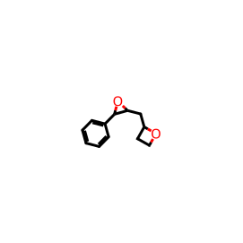 c1ccc(C2OC2CC2CCO2)cc1